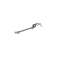 C=Cc1ccc(OCCCCCCCCCCCO)cc1